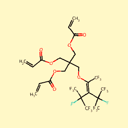 C=CC(=O)OCC(COC(=O)C=C)(COC(=O)C=C)COC(=C(C(F)(C(F)(F)F)C(F)(F)F)C(F)(C(F)(F)F)C(F)(F)F)C(F)(F)F